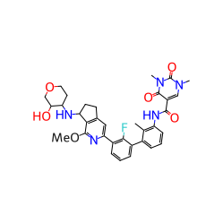 COc1nc(-c2cccc(-c3cccc(NC(=O)c4cn(C)c(=O)n(C)c4=O)c3C)c2F)cc2c1C(NC1CCOCC1O)CC2